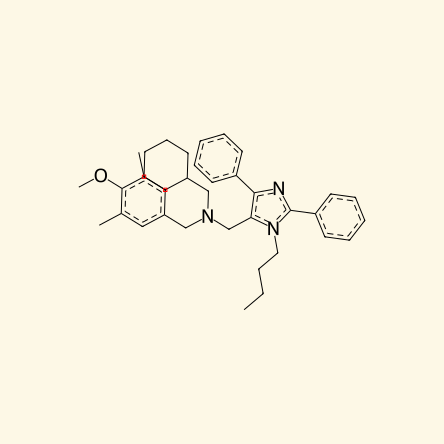 CCCCn1c(-c2ccccc2)nc(-c2ccccc2)c1CN(Cc1cc(C)c(OC)c(C)c1)CC1CCCCC1